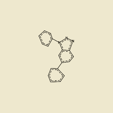 c1ccc(-c2ccc3nnn(-c4ccccc4)c3c2)cc1